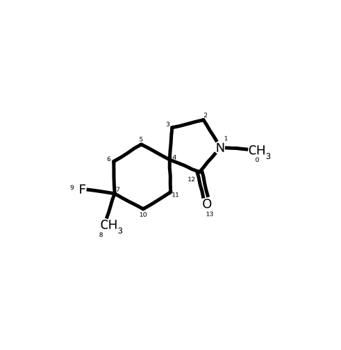 CN1CCC2(CCC(C)(F)CC2)C1=O